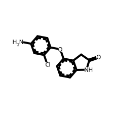 Nc1ccc(Oc2cccc3c2CC(=O)N3)c(Cl)c1